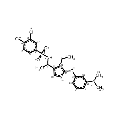 CCn1c(C(C)NS(=O)(=O)c2ccc(Cl)c(Cl)c2)cnc1Oc1cccc(N(C)C)c1